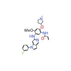 C=CC(=O)Nc1cc(Nc2cc3c(ccn3-c3cccc(F)c3)cn2)c(OC)cc1OC1CCN(C)C1